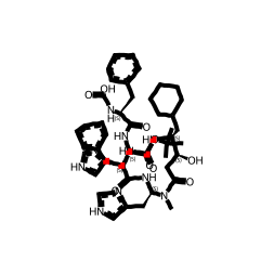 CN(C(=O)C[C@H](O)[C@H](CC1CCCCC1)NC(=O)[C@H](Cc1c[nH]cn1)NC(=O)[C@H](Cc1ccccc1)NC(=O)O)[C@@H](Cc1c[nH]cn1)NC(=O)[C@H](Cc1ccccc1)NC(=O)OC(C)(C)C